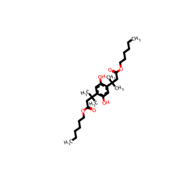 CCCCCCOC(=O)CC(C)(C)c1cc(O)c(C(C)(C)CC(=O)OCCCCCC)cc1O